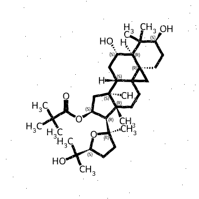 CC(C)(C)C(=O)O[C@H]1C[C@@]2(C)[C@@H]3C[C@H](O)[C@H]4C(C)(C)[C@@H](O)CC[C@@]45CC35CC[C@]2(C)[C@H]1[C@@]1(C)CC[C@@H](C(C)(C)O)O1